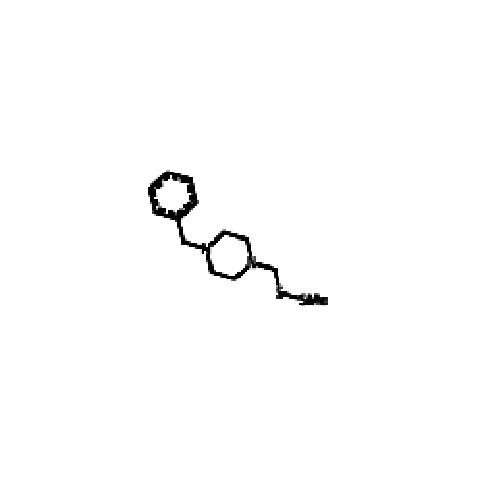 CSSCN1CCN(Cc2ccccc2)CC1